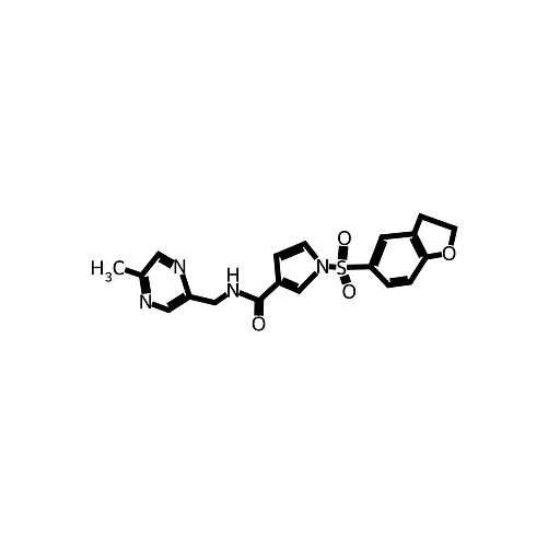 Cc1cnc(CNC(=O)c2ccn(S(=O)(=O)c3ccc4c(c3)CCO4)c2)cn1